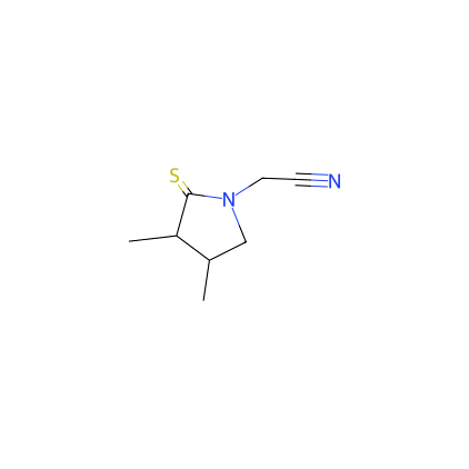 CC1CN(CC#N)C(=S)C1C